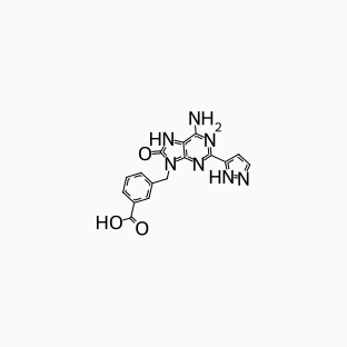 Nc1nc(-c2ccn[nH]2)nc2c1[nH]c(=O)n2Cc1cccc(C(=O)O)c1